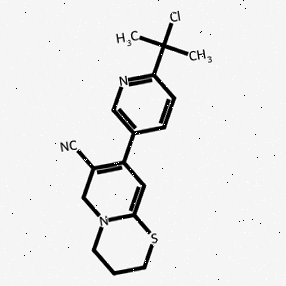 CC(C)(Cl)c1ccc(C2=C(C#N)CN3CCCSC3=C2)cn1